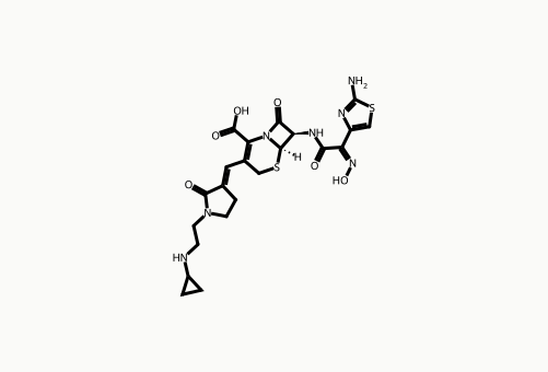 Nc1nc(/C(=N/O)C(=O)N[C@@H]2C(=O)N3C(C(=O)O)=C(C=C4CCN(CCNC5CC5)C4=O)CS[C@H]23)cs1